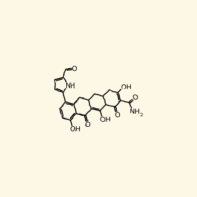 NC(=O)C1=C(O)CC2CC3Cc4c(-c5ccc(C=O)[nH]5)ccc(O)c4C(=O)C3=C(O)C2C1=O